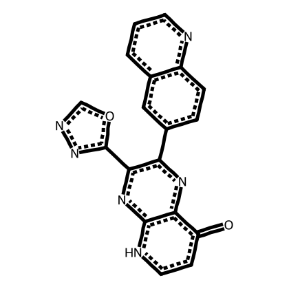 O=c1cc[nH]c2nc(-c3nnco3)c(-c3ccc4ncccc4c3)nc12